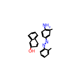 Cc1cc(N=Nc2ccccc2C)ccc1N.Oc1ccc2ccccc2c1